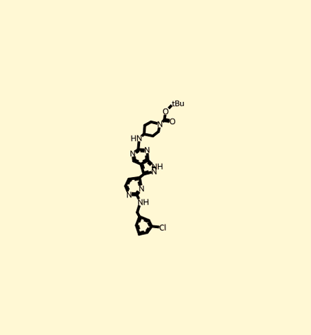 CC(C)(C)OC(=O)N1CCC(Nc2ncc3c(-c4ccnc(NCc5cccc(Cl)c5)n4)n[nH]c3n2)CC1